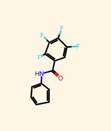 O=C(Nc1ccccc1)c1cc(F)c(F)c(F)c1F